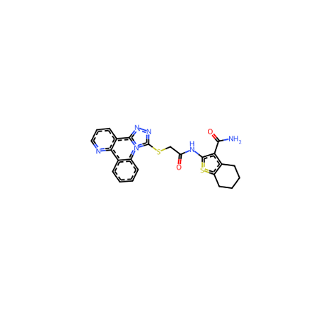 NC(=O)c1c(NC(=O)CSc2nnc3c4cccnc4c4ccccc4n23)sc2c1CCCC2